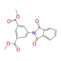 COC(=O)c1cc(C(=O)OC)cc(N2C(=O)c3ccccc3C2=O)c1